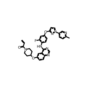 C=CC(=O)N1CCC(Oc2ccc3ncnc(Nc4ccc(Oc5ccn(-c6ccc(C)nc6)n5)cc4F)c3c2)CC1